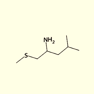 CSCC(N)CC(C)C